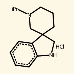 CC(C)N1CCCC2(CNc3ccccc32)C1.Cl